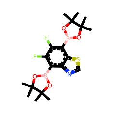 CC1(C)OB(c2c(F)c(F)c(B3OC(C)(C)C(C)(C)O3)c3scnc23)OC1(C)C